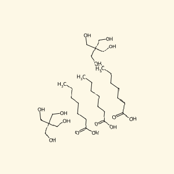 CCCCCCC(=O)O.CCCCCCC(=O)O.CCCCCCC(=O)O.OCC(CO)(CO)CO.OCC(CO)(CO)CO